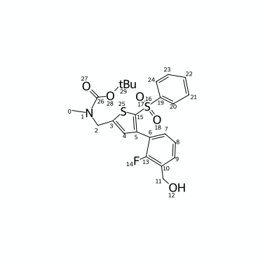 CN(Cc1cc(-c2cccc(CO)c2F)c(S(=O)(=O)c2ccccc2)s1)C(=O)OC(C)(C)C